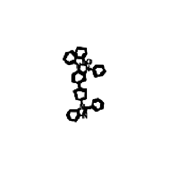 O=P1(c2ccccc2)N(c2ccccc2)c2ccc(-c3ccc(-n4c(-c5ccccc5)nc5ccccc54)cc3)cc2N1c1ccccc1